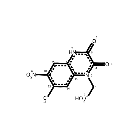 O=C(O)Cn1c(=O)c(=O)[nH]c2cc([N+](=O)[O-])c(Cl)cc21